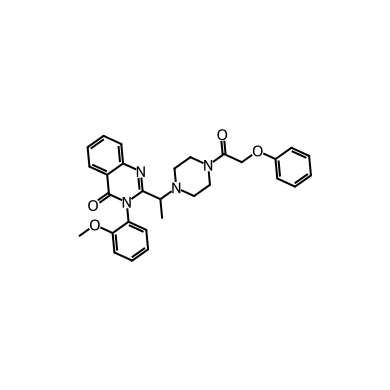 COc1ccccc1-n1c(C(C)N2CCN(C(=O)COc3ccccc3)CC2)nc2ccccc2c1=O